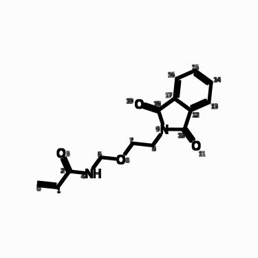 C=CC(=O)NCOCCN1C(=O)c2ccccc2C1=O